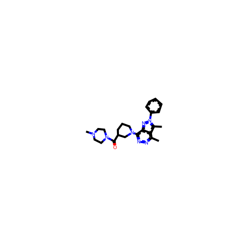 Cc1nnc(N2CCCC(C(=O)N3CCN(C)CC3)C2)c2nn(-c3ccccc3)c(C)c12